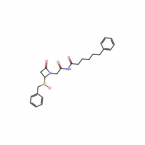 O=C(CCCCCc1ccccc1)NC(=O)CN1C(=O)CC1[S+]([O-])Cc1ccccc1